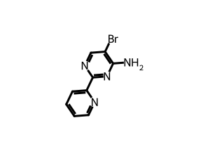 Nc1nc(-c2ccccn2)ncc1Br